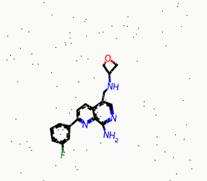 Nc1ncc(CNC2COC2)c2ccc(-c3cccc(F)c3)nc12